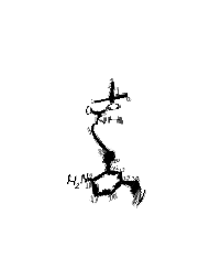 CC(C)(C)OC(=O)NCC#Cc1cc(C#N)ccc1N